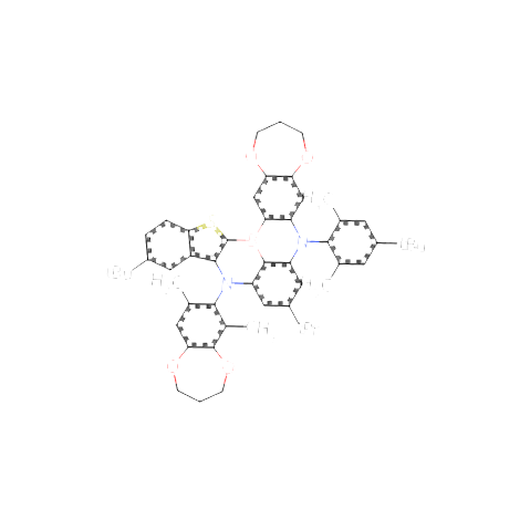 Cc1cc(C(C)(C)C)cc(C)c1N1c2cc3c(cc2B2c4sc5ccc(C(C)(C)C)cc5c4N(c4c(C)cc5c(c4C)OCCCO5)c4cc(C(C)C)cc1c42)OCCCO3